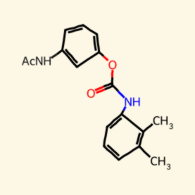 CC(=O)Nc1cccc(OC(=O)Nc2cccc(C)c2C)c1